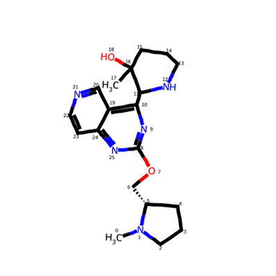 CN1CCC[C@H]1COc1nc(C2NCCCC2(C)O)c2cnccc2n1